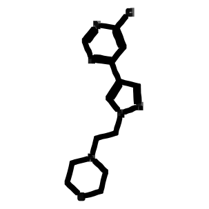 Clc1cc(-c2cnn(CCN3CCOCC3)c2)ncn1